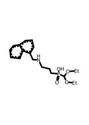 CCOC(OCC)P(=O)(O)CCCNCc1cccc2ccccc12